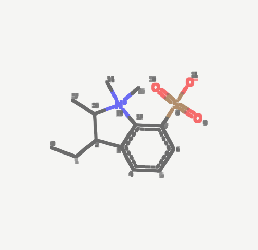 CCC1c2cccc(S(=O)(=O)[O-])c2[N+](C)(C)C1C